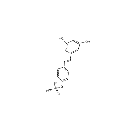 O=P(O)(O)Oc1ccc(C=Cc2cc(O)cc(O)c2)cc1